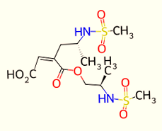 C[C@H](COC(=O)C(=CC(=O)O)C[C@@H](C)NS(C)(=O)=O)NS(C)(=O)=O